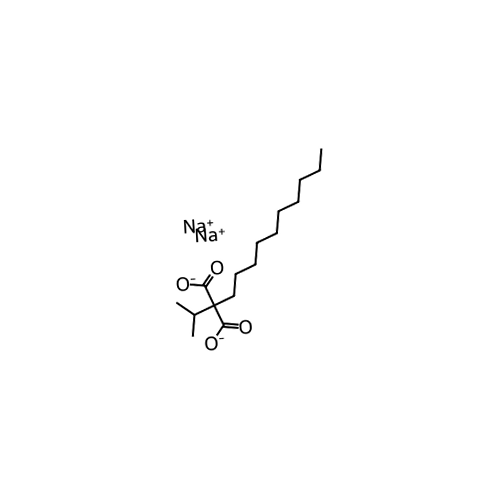 CCCCCCCCCCC(C(=O)[O-])(C(=O)[O-])C(C)C.[Na+].[Na+]